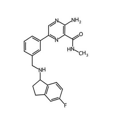 CNC(=O)c1nc(-c2cccc(CNC3CCc4cc(F)ccc43)c2)cnc1N